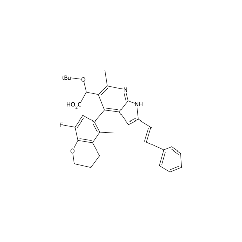 Cc1nc2[nH]c(C=Cc3ccccc3)cc2c(-c2cc(F)c3c(c2C)CCCO3)c1C(OC(C)(C)C)C(=O)O